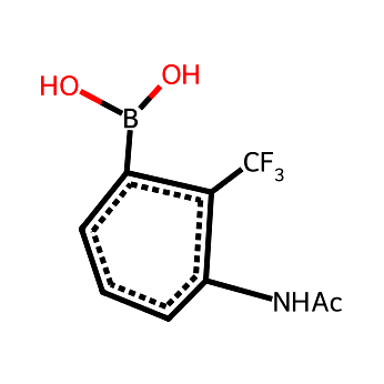 CC(=O)Nc1cccc(B(O)O)c1C(F)(F)F